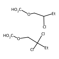 CCC(Cl)(Cl)COC(=O)O.CCC(Cl)COC(=O)O